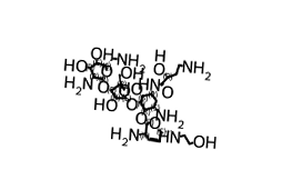 NCC[C@@H](O)C(=O)N[C@@H]1C[C@H](N)[C@@H](O[C@H]2O[C@H](CNCCO)C=C[C@H]2N)[C@H](O[C@@H]2O[C@H](CO)[C@@H](O[C@H]3O[C@@H](CN)[C@@H](O)[C@H](O)[C@H]3N)[C@H]2O)[C@H]1O